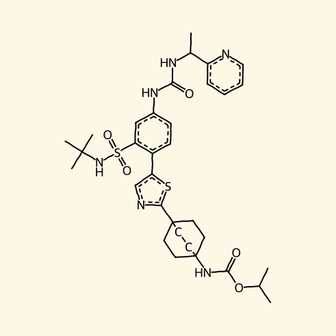 CC(C)OC(=O)NC12CCC(c3ncc(-c4ccc(NC(=O)NC(C)c5ccccn5)cc4S(=O)(=O)NC(C)(C)C)s3)(CC1)CC2